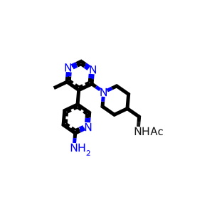 CC(=O)NCC1CCN(c2ncnc(C)c2-c2ccc(N)nc2)CC1